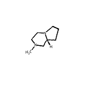 CN1CCN2CCC[C@@H]2C1